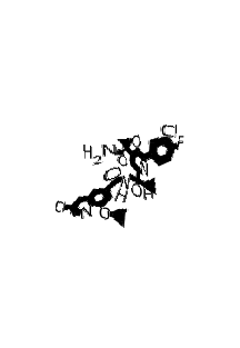 NC(=O)[C@@]12CC1Oc1c2cc(C(O)(CNC(=O)c2cc(OC3CC3)c3ncc(Cl)cc3c2)C2CC2)nc1-c1ccc(F)c(Cl)c1